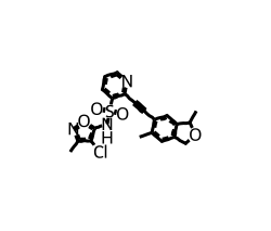 Cc1cc2c(cc1C#Cc1ncccc1S(=O)(=O)Nc1onc(C)c1Cl)C(C)OC2